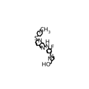 CN1CCC(Sc2ccc3cnc(Nc4ccc(-n5ccc(CO)n5)cc4F)cc3n2)CC1